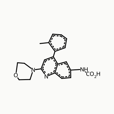 Cc1ccccc1-c1cc(N2CCOCC2)nc2ccc(NC(=O)O)cc12